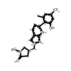 Cc1cc(C(F)(F)F)cc(O)c1-c1ccc2cn(C[C@H]3CC(=O)N(C(C)C)C3)nc2n1